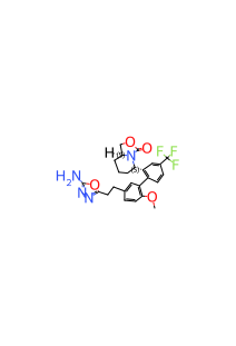 COc1ccc(CCc2nnc(N)o2)cc1-c1ccc(C(F)(F)F)cc1[C@@H]1CCC[C@H]2COC(=O)N21